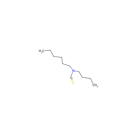 CCCCCCN(C=S)CCCC